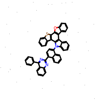 c1ccc(-c2nc(-c3ccc(-n4c5ccccc5c5c6c7ccccc7oc6c6sc7ccccc7c6c54)c4ccccc34)nc3ccccc23)cc1